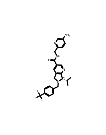 CC(C)[C@H]1c2ncc(C(=O)NCc3ccc(N)cn3)cc2CN1Cc1ccc(C(F)(F)F)cc1